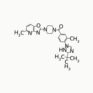 Cc1ccc2oc(N3CCN(C(=O)c4ccc(N5C=NC(C(C)(C)C)N5)c(C)c4)CC3)nc2n1